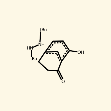 CC(C)(C)NNC(C)(C)C.O=C1CCc2ccc(O)c1c2